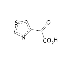 O=C(O)C(=O)c1cscn1